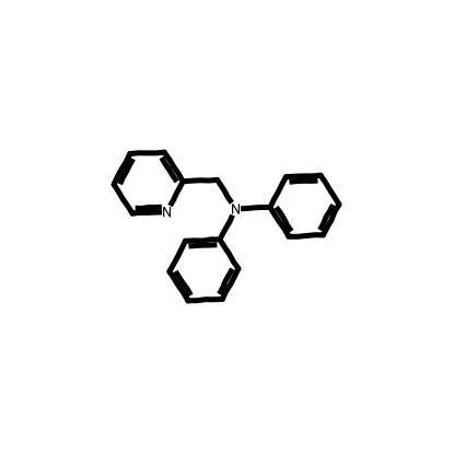 c1ccc(N(Cc2ccccn2)c2ccccc2)cc1